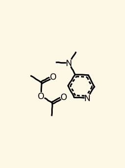 CC(=O)OC(C)=O.CN(C)c1ccncc1